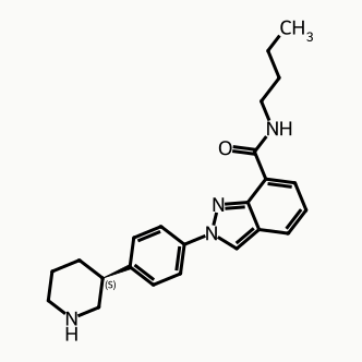 CCCCNC(=O)c1cccc2cn(-c3ccc([C@@H]4CCCNC4)cc3)nc12